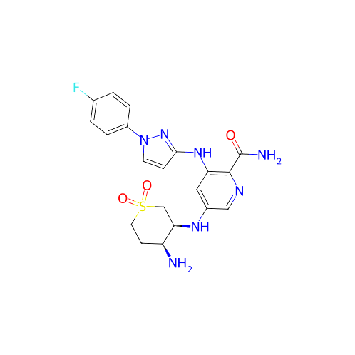 NC(=O)c1ncc(N[C@@H]2CS(=O)(=O)CC[C@@H]2N)cc1Nc1ccn(-c2ccc(F)cc2)n1